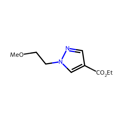 CCOC(=O)c1cnn(CCOC)c1